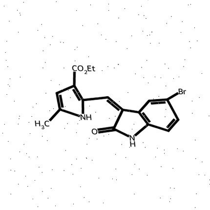 CCOC(=O)c1cc(C)[nH]c1/C=C1\C(=O)Nc2ccc(Br)cc21